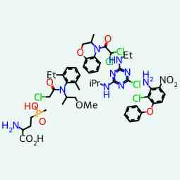 CC1COc2ccccc2N1C(=O)C(Cl)Cl.CCNc1nc(Cl)nc(NC(C)C)n1.CCc1cccc(C)c1N(C(=O)CCl)C(C)COC.CP(=O)(O)CCC(N)C(=O)O.Nc1c([N+](=O)[O-])ccc(Oc2ccccc2)c1Cl